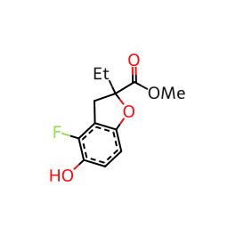 CCC1(C(=O)OC)Cc2c(ccc(O)c2F)O1